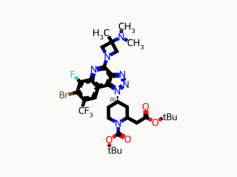 CN(C)C1(C)CN(c2nc3c(F)c(Br)c(C(F)(F)F)cc3c3c2nnn3[C@H]2CCN(C(=O)OC(C)(C)C)C(CC(=O)OC(C)(C)C)C2)C1